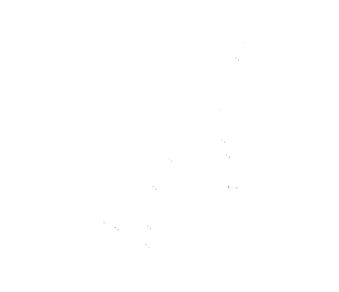 COc1nn(-c2ccc3c(n2)CN(C)C3)cc1C(=O)Nc1cccc(-c2nnc3n2[C@@H](C)CC3)n1